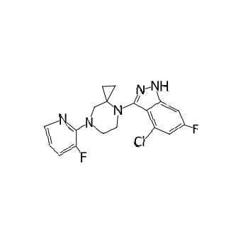 Fc1cc(Cl)c2c(N3CCN(c4ncccc4F)CC34CC4)n[nH]c2c1